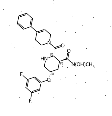 CN(O)C(=O)[C@H]1C[C@H](Oc2cc(F)cc(F)c2)CN[C@@H]1C(=O)N1CC=C(c2ccccc2)CC1